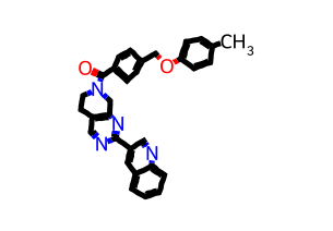 Cc1ccc(OCc2ccc(C(=O)N3CCc4cnc(-c5cnc6ccccc6c5)nc4C3)cc2)cc1